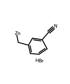 Br.N#Cc1cccc([CH2][Zn])c1